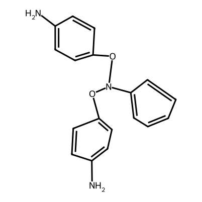 Nc1ccc(ON(Oc2ccc(N)cc2)c2ccccc2)cc1